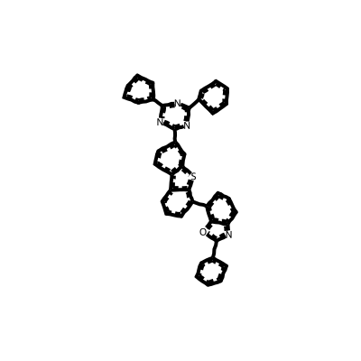 c1ccc(-c2nc(-c3ccccc3)nc(-c3ccc4c(c3)sc3c(-c5cccc6nc(-c7ccccc7)oc56)cccc34)n2)cc1